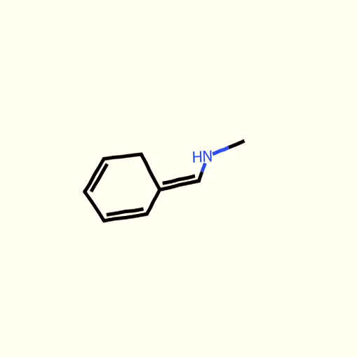 CN/C=C1/C=CC=CC1